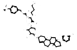 C[C@]12CC[C@H](OC3OC[C@H](NC(=O)[C@H](CCCCN)NC(=O)OCc4ccc([N+](=O)[O-])cc4)C(O)C3O)C=C1CCC1C2CC[C@]2(C)[C@@H](c3ccc(=O)oc3)CC[C@]12O